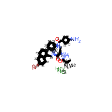 CNC(C)C(=O)NC1CN(C(=O)c2ccc(N)cc2)c2ccccc2N(Cc2c(OC)ccc3cc(Br)ccc23)C1=O.Cl.Cl